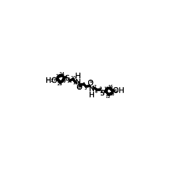 O=C(CCC(=O)NCCCSc1ccc(O)cc1)NCCCSc1ccc(O)cc1